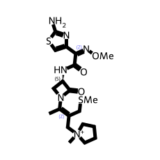 CO/N=C(\C(=O)N[C@H]1CN(/C(C)=C(\CSC)C[N+]2(C)CCCC2)C1=O)c1csc(N)n1